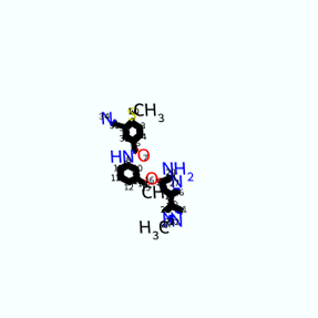 CSc1ccc(C(=O)Nc2cccc([C@@H](C)Oc3cc(-c4cnn(C)c4)cnc3N)c2)cc1C#N